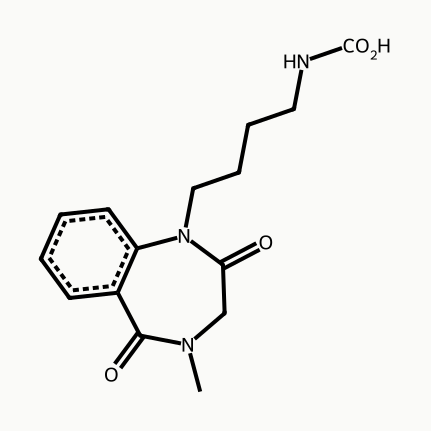 CN1CC(=O)N(CCCCNC(=O)O)c2ccccc2C1=O